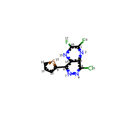 Fc1nc2c(Cl)nnc(-c3cccs3)c2nc1F